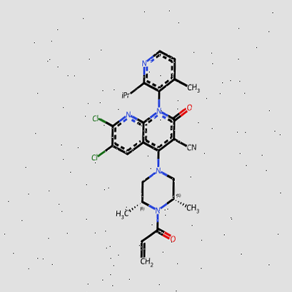 C=CC(=O)N1[C@H](C)CN(c2c(C#N)c(=O)n(-c3c(C)ccnc3C(C)C)c3nc(Cl)c(Cl)cc23)C[C@@H]1C